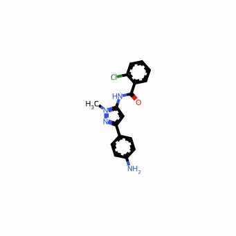 Cn1nc(-c2ccc(N)cc2)cc1NC(=O)c1ccccc1Cl